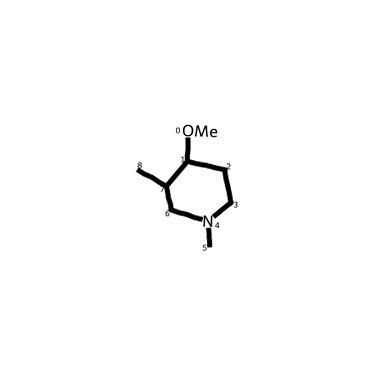 COC1CCN(C)CC1C